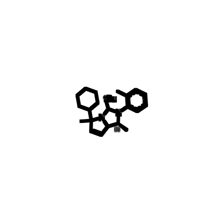 Cc1ccccc1N1C(C(C)(C)C)N2C(C=CC2(C)C2CCCCC2)[C@@H]1C